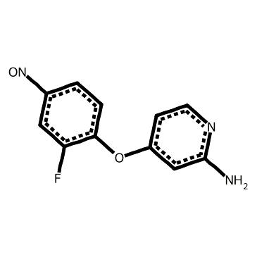 Nc1cc(Oc2ccc(N=O)cc2F)ccn1